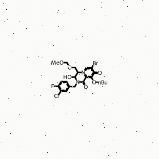 CCCCOc1c2n(cc(Br)c1=O)C(COCOC)C(O)N(Cc1ccc(F)c(Cl)c1)C2=O